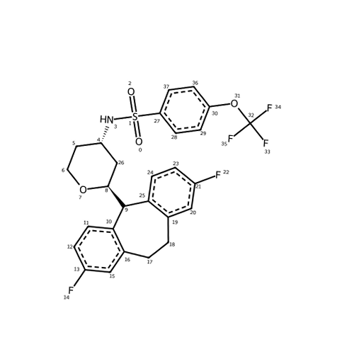 O=S(=O)(N[C@H]1CCO[C@H](C2c3ccc(F)cc3CCc3cc(F)ccc32)C1)c1ccc(OC(F)(F)F)cc1